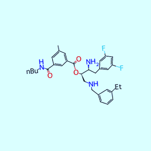 CCCCNC(=O)c1cc(C)cc(C(=O)O[C@H](CNCc2cccc(CC)c2)[C@@H](N)Cc2cc(F)cc(F)c2)c1